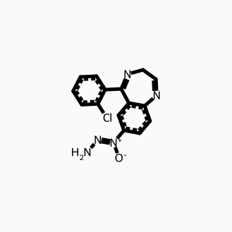 NN=[N+]([O-])c1ccc2c(c1)C(c1ccccc1Cl)=NCC=N2